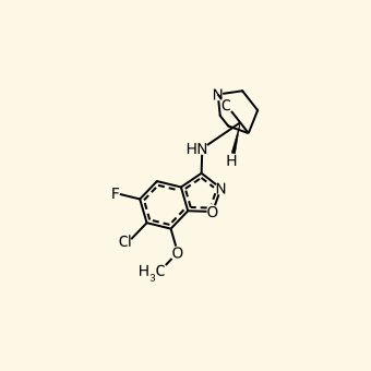 COc1c(Cl)c(F)cc2c(N[C@@H]3CN4CCC3CC4)noc12